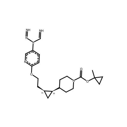 CC1(OC(=O)N2CCC([C@H]3C[C@H]3CCOc3ccc(N(C=N)N=N)cn3)CC2)CC1